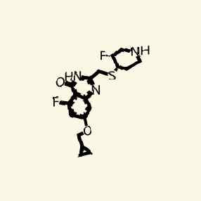 O=c1[nH]c(CS[C@@H]2CCNC[C@H]2F)nc2cc(OCC3CC3)cc(F)c12